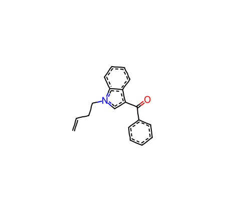 C=CCCn1cc(C(=O)c2ccccc2)c2ccccc21